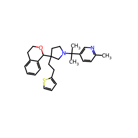 Cc1ccc(C(C)(C)N2CCC(CCc3cccs3)(C3OCCc4ccccc43)C2)cn1